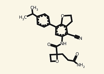 CC(C)c1ccc(-c2cc(NC(=O)C3(CCC(N)=O)CCO3)c(C#N)c3c2OCC3)cc1